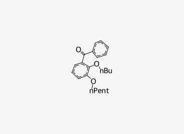 CCCCCOc1cccc(C(=O)c2ccccc2)c1OCCCC